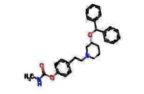 CNC(=O)Oc1ccc(CCN2CCC[C@@H](OC(c3ccccc3)c3ccccc3)C2)cc1